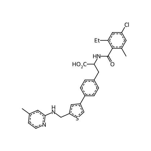 CCc1cc(Cl)cc(C)c1C(=O)NC(Cc1ccc(-c2csc(CNc3cc(C)ccn3)c2)cc1)C(=O)O